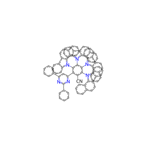 N#Cc1c(-c2cc(-c3ccccc3)nc(-c3ccccc3)n2)c(-n2c3ccccc3c3ccc4ccccc4c32)c(-n2c3ccccc3c3ccc4ccccc4c32)c(-n2c3ccccc3c3ccc4ccccc4c32)c1-n1c2ccccc2c2ccc3ccccc3c21